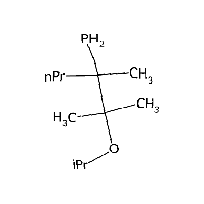 CCCC(C)(P)C(C)(C)OC(C)C